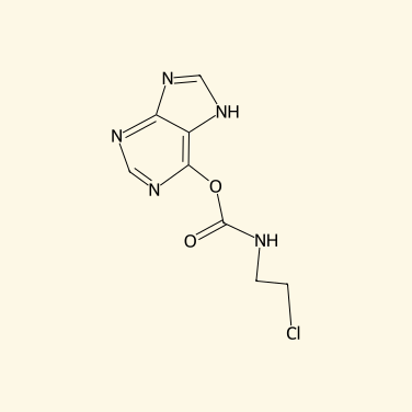 O=C(NCCCl)Oc1ncnc2nc[nH]c12